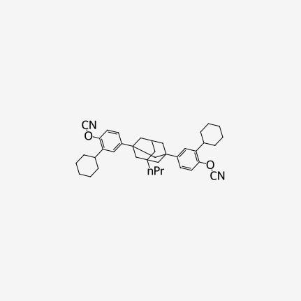 CCCC12CC3CC(c4ccc(OC#N)c(C5CCCCC5)c4)(C1)CC(c1ccc(OC#N)c(C4CCCCC4)c1)(C3)C2